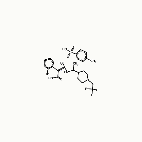 C/C(NC(C)C1CCN(CC(F)(F)F)CC1)=C(/C(=O)O)c1ccccc1Br.Cc1ccc(S(=O)(=O)O)cc1